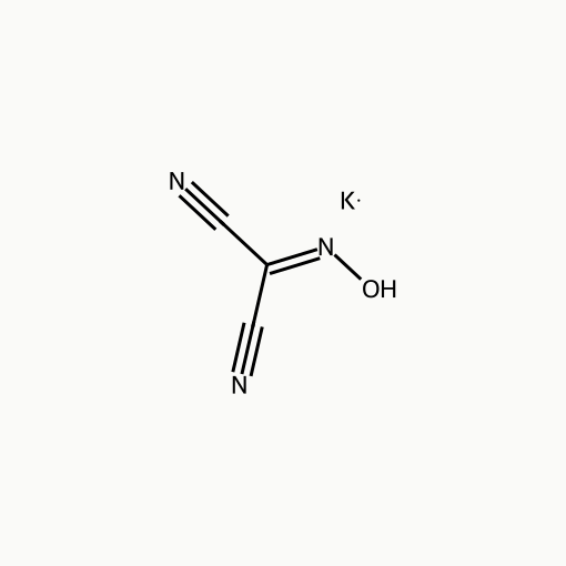 N#CC(C#N)=NO.[K]